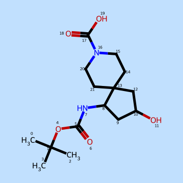 CC(C)(C)OC(=O)NC1CC(O)CC12CCN(C(=O)O)CC2